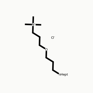 CCCCCCCCCCOCCC[N+](C)(C)C.[Cl-]